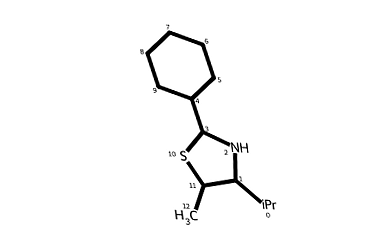 CC(C)C1NC(C2CCCCC2)SC1C